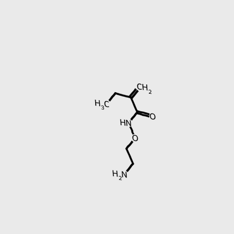 C=C(CC)C(=O)NOCCN